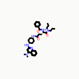 CCCN(CCC)C(=O)[C@H](CCC(=O)N[C@H]1CC[C@@H](Nc2cc(N(C)C)c3ccccc3n2)CC1)NC(=O)c1ccccc1